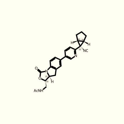 [C-]#[N+][C@]1(c2ccc(-c3ccc4c(c3)C[C@H]3[C@H](CNC(C)=O)OC(=O)N43)cn2)[C@@H]2CCC[C@@H]21